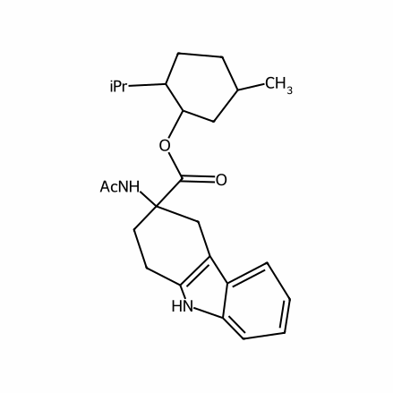 CC(=O)NC1(C(=O)OC2CC(C)CCC2C(C)C)CCc2[nH]c3ccccc3c2C1